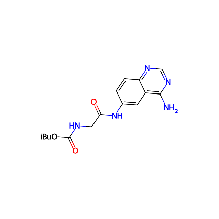 CC(C)COC(=O)NCC(=O)Nc1ccc2ncnc(N)c2c1